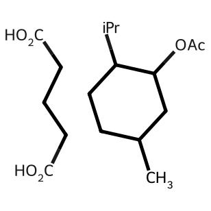 CC(=O)OC1CC(C)CCC1C(C)C.O=C(O)CCCC(=O)O